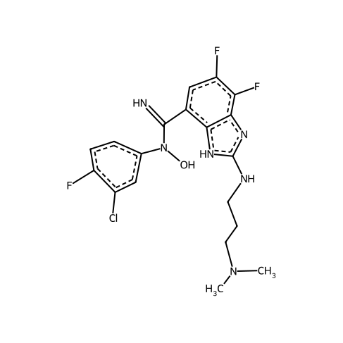 CN(C)CCCNc1nc2c(F)c(F)cc(C(=N)N(O)c3ccc(F)c(Cl)c3)c2[nH]1